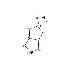 CC1CC2C[N]CC2C1